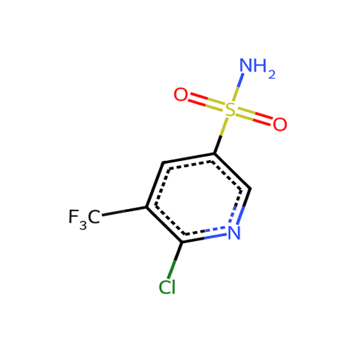 NS(=O)(=O)c1cnc(Cl)c(C(F)(F)F)c1